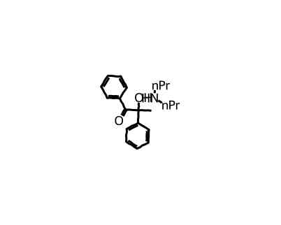 CC(O)(C(=O)c1ccccc1)c1ccccc1.CCCNCCC